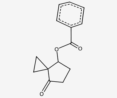 O=C(OC1CCC(=O)C12CC2)c1ccccc1